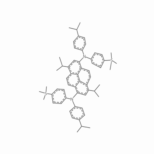 CC(C)c1ccc(N(c2ccc(S(C)(C)C)cc2)c2cc(C(C)C)c3ccc4c(N(c5ccc(C(C)C)cc5)c5ccc(S(C)(C)C)cc5)cc(C(C)C)c5ccc2c3c54)cc1